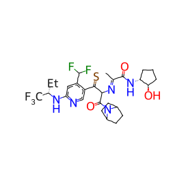 CC[C@H](Nc1cc(C(F)F)c(C(=S)C(/N=C(\C)C(=O)N[C@@H]2CCC[C@H]2O)C(=O)N2C3CCC2CC3)cn1)C(F)(F)F